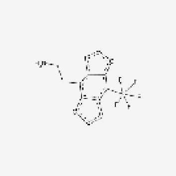 NCCc1c2ccoc2c(S(F)(F)(F)(F)F)c2ccoc12